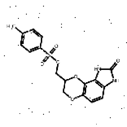 Cc1ccc(S(=O)(=O)OCC2COc3ccc4[nH]c(=O)[nH]c4c3O2)cc1